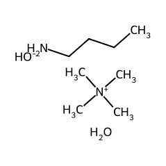 CCCCN.C[N+](C)(C)C.O.[OH-]